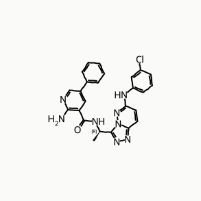 C[C@@H](NC(=O)c1cc(-c2ccccc2)cnc1N)c1nnc2ccc(Nc3cccc(Cl)c3)nn12